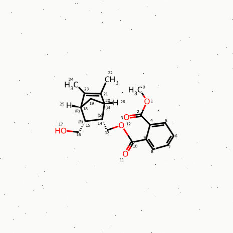 COC(=O)c1ccccc1C(=O)OC[C@@H]1[C@H](CO)[C@H]2C[C@@H]1C(C)=C2C